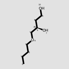 CCCCOC[C@H](O)CCO